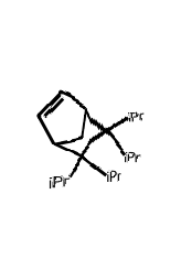 CC(C)C1(C(C)C)C2C=CC(C2)C1(C(C)C)C(C)C